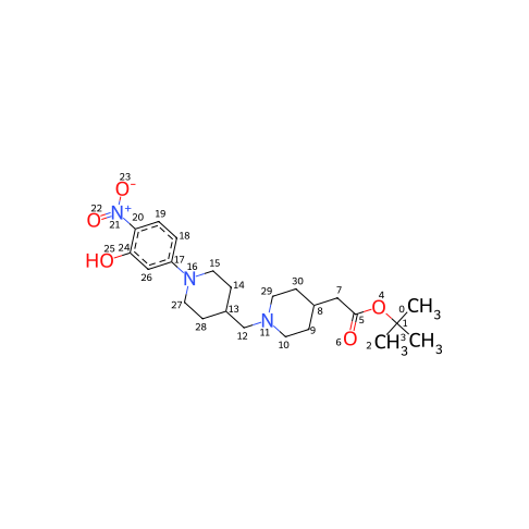 CC(C)(C)OC(=O)CC1CCN(CC2CCN(c3ccc([N+](=O)[O-])c(O)c3)CC2)CC1